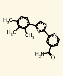 Cc1ccc(-c2csc(-c3cc(C(N)=O)ccn3)n2)c(C)c1C